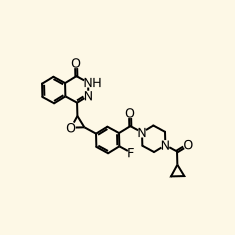 O=C(c1cc(C2OC2c2n[nH]c(=O)c3ccccc23)ccc1F)N1CCN(C(=O)C2CC2)CC1